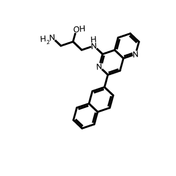 NCC(O)CNc1nc(-c2ccc3ccccc3c2)cc2ncccc12